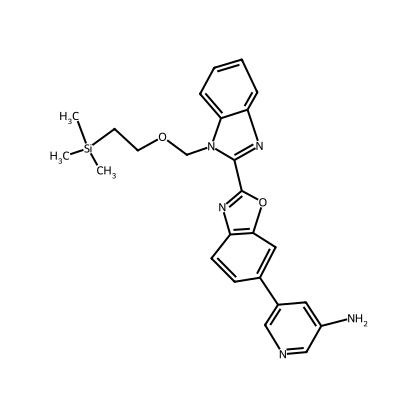 C[Si](C)(C)CCOCn1c(-c2nc3ccc(-c4cncc(N)c4)cc3o2)nc2ccccc21